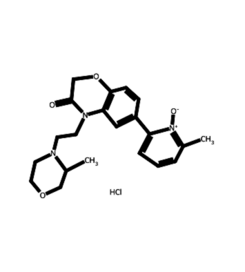 Cc1cccc(-c2ccc3c(c2)N(CCN2CCOCC2C)C(=O)CO3)[n+]1[O-].Cl